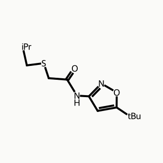 CC(C)CSCC(=O)Nc1cc(C(C)(C)C)on1